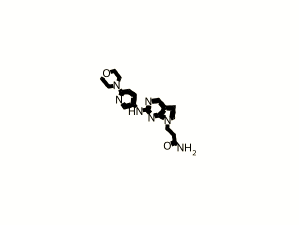 NC(=O)CCn1ccc2cnc(Nc3ccc(N4CCOCC4)nc3)nc21